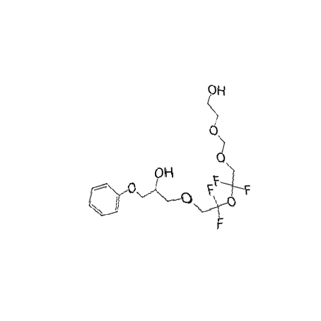 OCCOCOCC(F)(F)OC(F)(F)COCC(O)COc1ccccc1